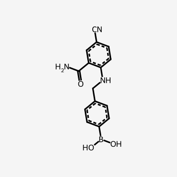 N#Cc1ccc(NCc2ccc(B(O)O)cc2)c(C(N)=O)c1